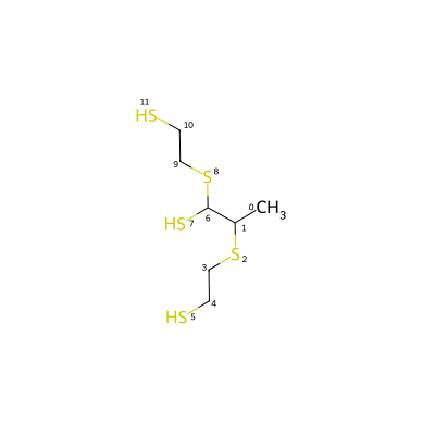 CC(SCCS)C(S)SCCS